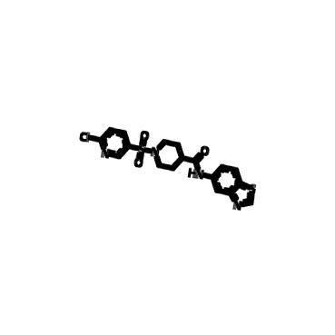 O=C(Nc1ccc2scnc2c1)C1CCN(S(=O)(=O)c2ccc(Cl)nc2)CC1